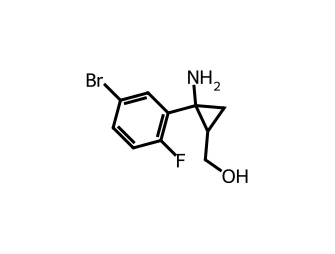 NC1(c2cc(Br)ccc2F)CC1CO